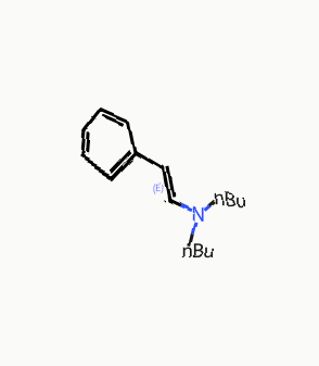 CCCCN(/[C]=C/c1ccccc1)CCCC